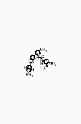 CCc1cc(NC(=O)C(=O)N2C[C@@H](C)CC[C@@H]2c2ccc3sc([C@@H]4C[C@@H]5CN(C)C[C@@H]5C4)nc3c2)cnc1N